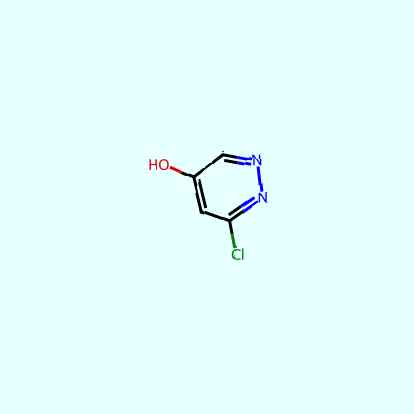 Oc1[c]nnc(Cl)c1